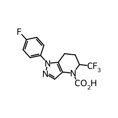 O=C(O)N1c2cnn(-c3ccc(F)cc3)c2CCC1C(F)(F)F